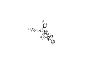 COCCN1C[C@@H](NC(=O)Nc2c(Cl)c(-c3cnn(I)c3)nn2C)[C@H](c2ccc(F)c(F)c2)C1